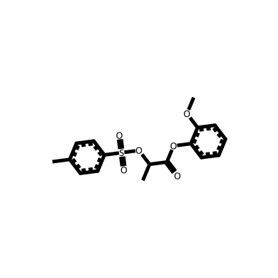 COc1ccccc1OC(=O)C(C)OS(=O)(=O)c1ccc(C)cc1